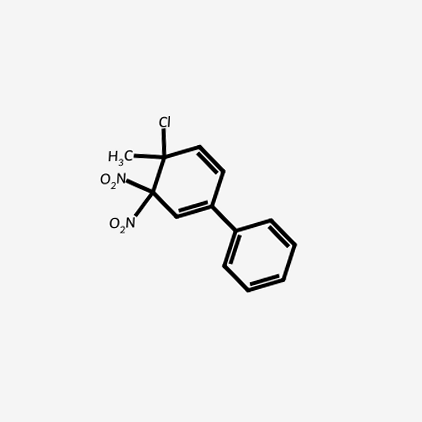 CC1(Cl)C=CC(c2ccccc2)=CC1([N+](=O)[O-])[N+](=O)[O-]